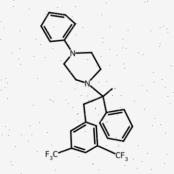 [CH2]C(Cc1cc(C(F)(F)F)cc(C(F)(F)F)c1)(c1ccccc1)N1CCN(c2ccccc2)CC1